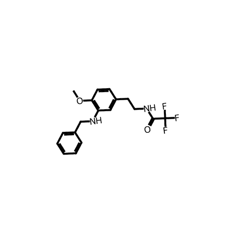 COc1ccc(CCNC(=O)C(F)(F)F)cc1NCc1ccccc1